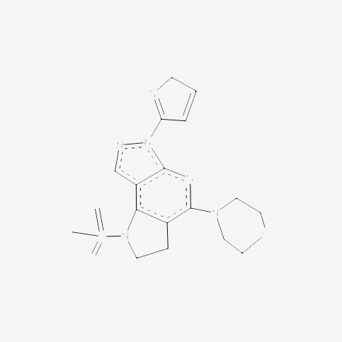 C[C@@H]1COCCN1c1nc2c(cnn2C2=NCC=C2)c2c1CCN2S(C)(=O)=O